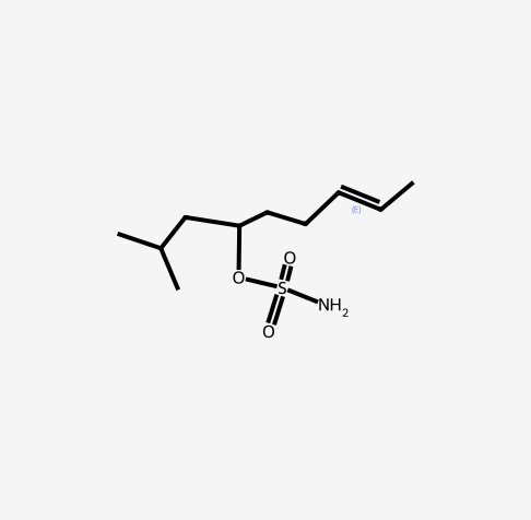 C/C=C/CCC(CC(C)C)OS(N)(=O)=O